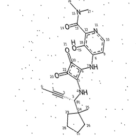 CC#C[C@H](Nc1c(Nc2ccnc(C(=O)N(C)C)c2O)c(=O)c1=O)C1(C)CCCC1